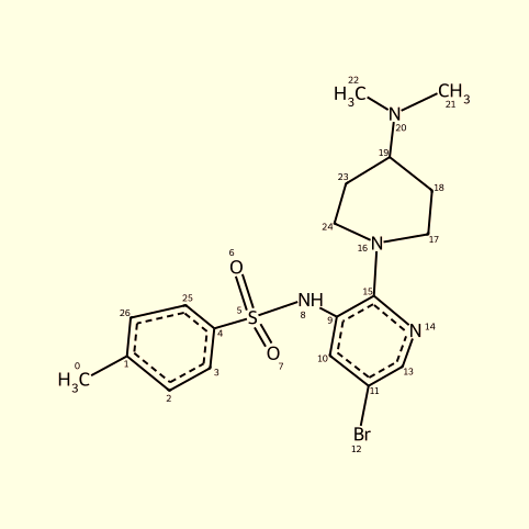 Cc1ccc(S(=O)(=O)Nc2cc(Br)cnc2N2CCC(N(C)C)CC2)cc1